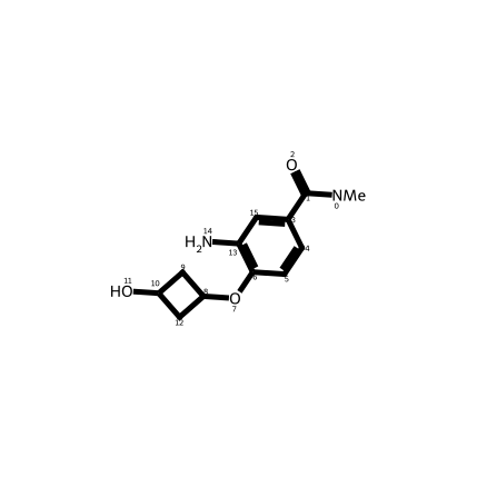 CNC(=O)c1ccc(OC2CC(O)C2)c(N)c1